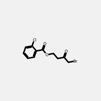 O=C(CBr)CCOC(=O)c1ccccc1Cl